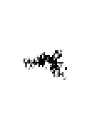 CC(C)(C)[Si](C)(C)O[C@@H]1CCC2[C@H]1OC(=O)N2c1cc(-c2cnc(N)nc2C(F)(F)F)nc(N2CCOCC2)n1